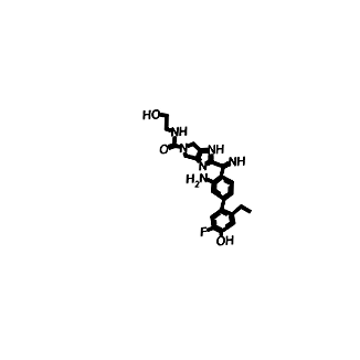 CCc1cc(O)c(F)cc1-c1ccc(C(=N)c2nc3c([nH]2)CN(C(=O)NCCO)C3)c(N)c1